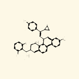 O=C(O)c1cccc(C(=O)O)c1CC1C=c2ccc3c(c2CC1)C(/C=C(/c1ccc(F)cc1)C1CC1)C=c1cc(Cl)ccc1=3